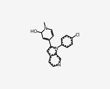 CN1C=CC(c2cc3ccncc3n2-c2ccc(Cl)cc2)=CC1O